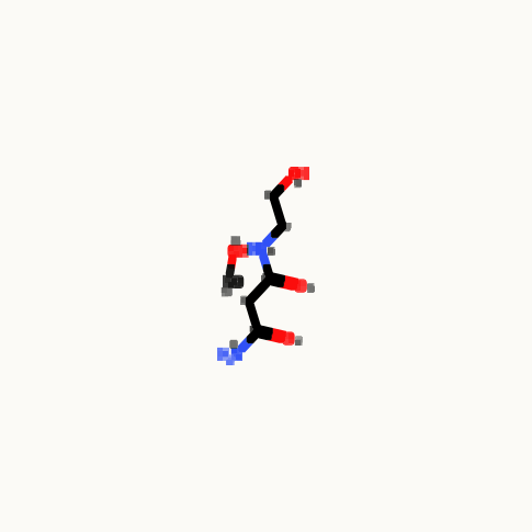 NC(=O)CC(=O)NCCO.O=NO